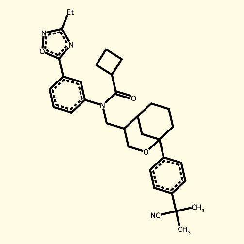 CCc1noc(-c2cccc(N(CC3COC4(c5ccc(C(C)(C)C#N)cc5)CCCC3C4)C(=O)C3CCC3)c2)n1